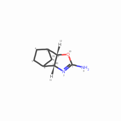 NC1=N[C@@H]2C3CCC(C3)[C@@H]2O1